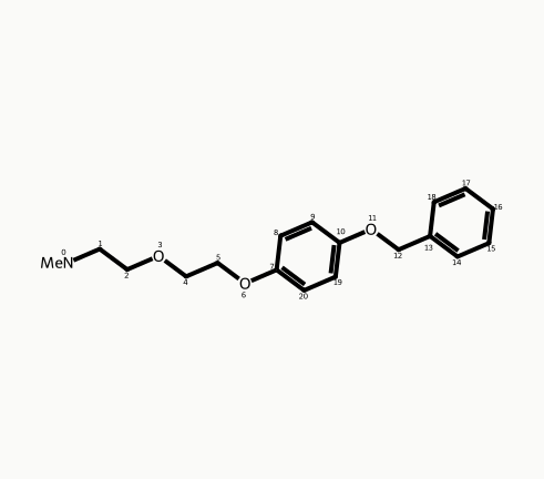 CNCCOCCOc1ccc(OCc2ccccc2)cc1